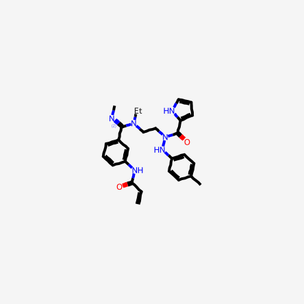 C=CC(=O)Nc1cccc(/C(=N/C)N(CC)CCN(Nc2ccc(C)cc2)C(=O)c2ccc[nH]2)c1